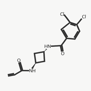 C=CC(=O)N[C@H]1C[C@H](NC(=O)c2ccc(Cl)c(Cl)c2)C1